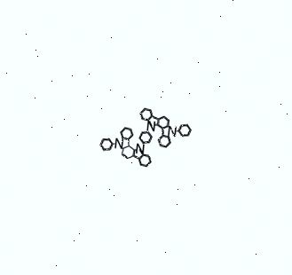 C1=CC2C(c3ccccc3N2c2ccccc2)c2c1c1ccccc1n2-c1ccc(-n2c3ccccc3c3ccc4c(c5ccccc5n4-c4ccccc4)c32)cc1